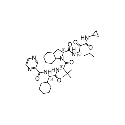 CCC[C@H](NC(=O)[C@@H]1CC2CCCCC2N1C(=O)[C@@H](NC(=O)[C@@H](NC(=O)c1cnccn1)C1CCCCC1)C(C)(C)C)C(=O)C(=O)NC1CC1